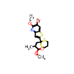 COC(=O)C(C)CC1(c2cc3nc(OC)c(Br)cc3s2)SCCCS1